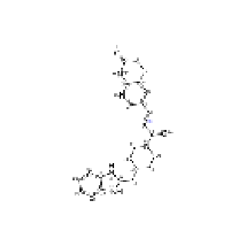 O=C1CCc2cc(/C=C/C(=O)N3CCC(CC4Nc5ccccc5N4)CC3)cnc2N1